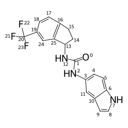 O=C(Nc1ccc2[nH]ccc2c1)NC1CCc2ccc(C(F)(F)F)cc21